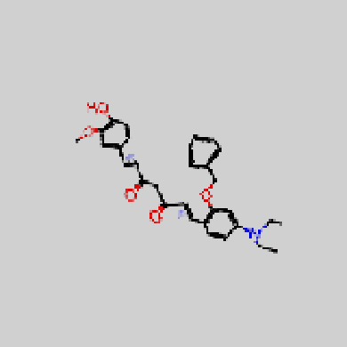 CCN(CC)c1ccc(/C=C/C(=O)CC(=O)/C=C/c2ccc(O)c(OC)c2)c(OCc2ccccc2)c1